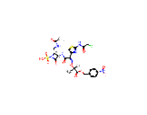 CC(=O)NC[C@@H]1[C@H](NC(=O)C(=NOC(C)(C)C(=O)OCc2ccc([N+](=O)[O-])cc2)c2csc(NC(=O)CCl)n2)C(=O)N1S(=O)(=O)O